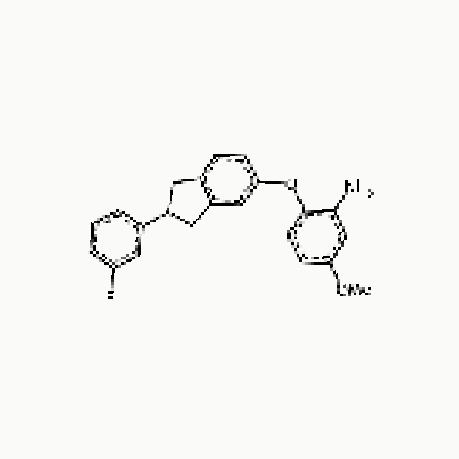 COc1ccc(Oc2ccc3c(c2)CC(c2cccc(F)c2)C3)c(N)c1